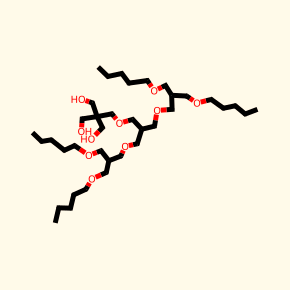 CCCCCOCC(COCCCCC)COCC(COCC(COCCCCC)COCCCCC)COCC(CO)(CO)CO